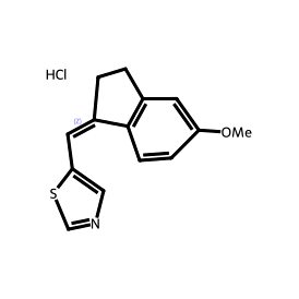 COc1ccc2c(c1)CC/C2=C/c1cncs1.Cl